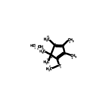 Cl.Cl.[CH3][Zr][C]1=C(C)C(C)=C(C)C1(C)C